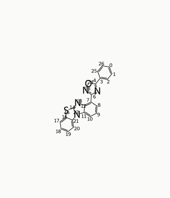 c1ccc(-c2nc(-c3cccc4c3nc3sc5ccccc5n34)no2)cc1